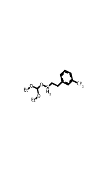 CCOC(OCC)O[SiH2]CCc1cccc(C(F)(F)F)c1